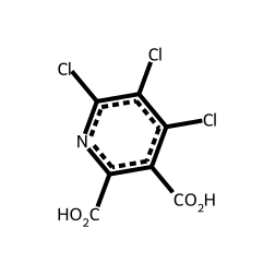 O=C(O)c1nc(Cl)c(Cl)c(Cl)c1C(=O)O